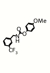 COc1ccc(OC(=O)NCc2cccc(C(F)(F)F)c2)cc1